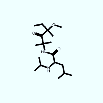 CCC(C)(OC)C(=O)C(C)(C)NC(=O)C(CC(C)C)NC(C)C